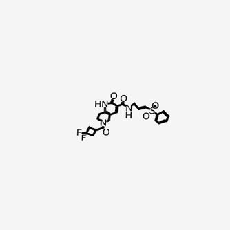 O=C(NC/C=C/S(=O)(=O)c1ccccc1)c1cc2c([nH]c1=O)CCN(C(=O)C1CC(F)(F)C1)C2